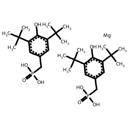 CC(C)(C)c1cc(CP(=O)(O)O)cc(C(C)(C)C)c1O.CC(C)(C)c1cc(CP(=O)(O)O)cc(C(C)(C)C)c1O.[Mg]